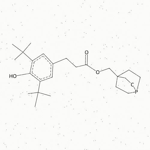 CC(C)(C)c1cc(CCC(=O)OCC23CCP(CC2)CC3)cc(C(C)(C)C)c1O